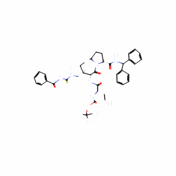 CC[C@H](NC(=O)OC(C)(C)C)C(=O)N[C@@H]1C(=O)N2[C@@H](CC[C@@H]1CNC(=S)NC(=O)c1ccccc1)CC[C@H]2C(=O)NC(c1ccccc1)c1ccccc1